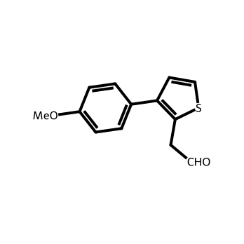 COc1ccc(-c2ccsc2CC=O)cc1